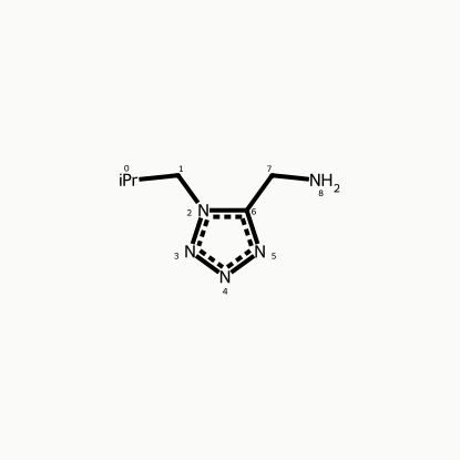 CC(C)Cn1nnnc1CN